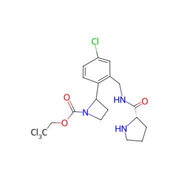 O=C(NCc1cc(Cl)ccc1C1CCN1C(=O)OCC(Cl)(Cl)Cl)[C@@H]1CCCN1